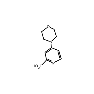 O=C(O)c1cc(N2CCOCC2)ccn1